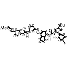 CCCCc1cc(NC(=O)Nc2ccc(OCc3ccnc(NC(=O)CN4CCN(CCOC)CC4)c3)c3ccccc23)n(-c2ccc(C)cc2)n1